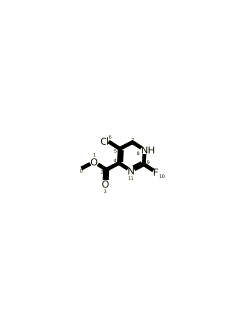 COC(=O)C1=C(Cl)[CH]NC(F)=N1